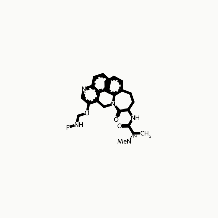 CN[C@@H](C)C(=O)NC1CCc2ccccc2N(Cc2c(OCNF)cnc3ccccc23)C1=O